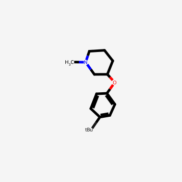 CN1CCCC(Oc2ccc(C(C)(C)C)cc2)C1